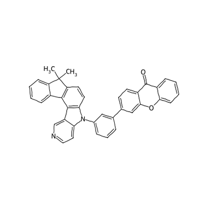 CC1(C)c2ccccc2-c2c1ccc1c2c2cnccc2n1-c1cccc(-c2ccc3c(=O)c4ccccc4oc3c2)c1